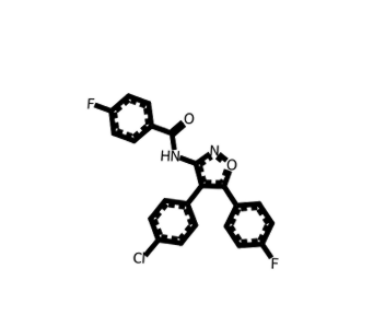 O=C(Nc1noc(-c2ccc(F)cc2)c1-c1ccc(Cl)cc1)c1ccc(F)cc1